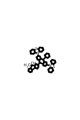 CC1(C)c2ccccc2-c2ccc(-c3c4ccc(N5c6ccccc6Sc6ccccc65)cc4c(-c4ccccc4)c4cc(N5c6ccccc6Sc6ccccc65)ccc34)cc21